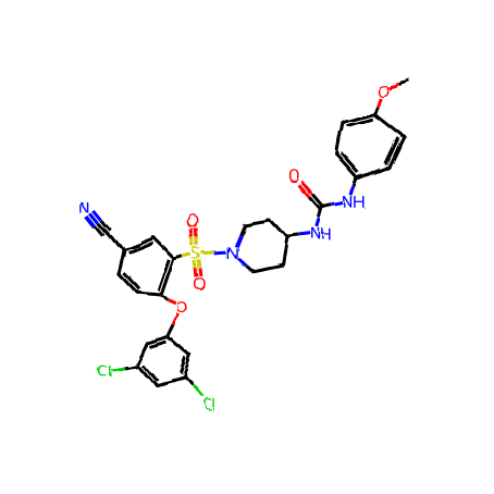 COc1ccc(NC(=O)NC2CCN(S(=O)(=O)c3cc(C#N)ccc3Oc3cc(Cl)cc(Cl)c3)CC2)cc1